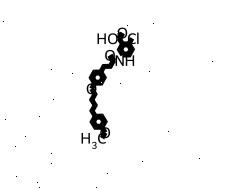 COc1ccc(CCCCOc2ccc(CCC(=O)Nc3ccc(Cl)c(C(=O)O)c3)cc2)cc1